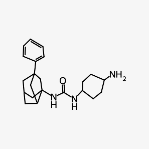 NC1CCC(NC(=O)NC23CC4CC2CC(c2ccccc2)(C4)C3)CC1